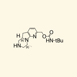 C[C@@H]1CNC[C@H]2Cc3ccc(COC(=O)NC(C)(C)C)nc3N21